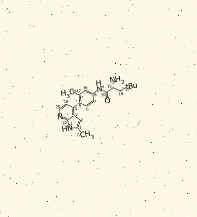 Cc1cc2c(-c3ccc(NC(=O)[C@H](N)CC(C)(C)C)cc3C)ccnc2[nH]1